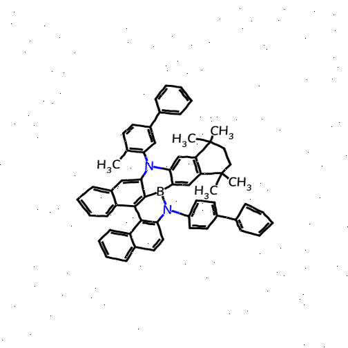 Cc1ccc(-c2ccccc2)cc1N1c2cc3c(cc2B2c4c1cc1ccccc1c4-c1c(ccc4ccccc14)N2c1ccc(-c2ccccc2)cc1)C(C)(C)CCC3(C)C